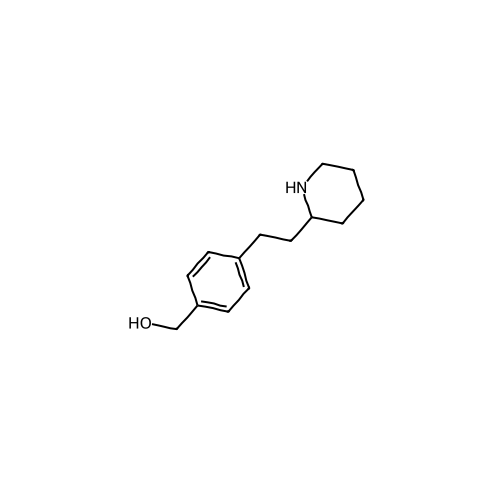 OCc1ccc(CCC2CCCCN2)cc1